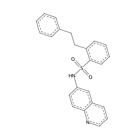 O=S(=O)(Nc1ccc2ncccc2c1)c1ccccc1CCc1ccccc1